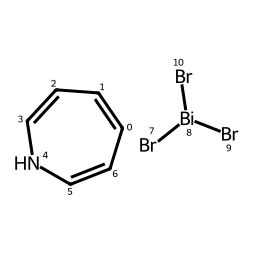 C1=CC=CNC=C1.[Br][Bi]([Br])[Br]